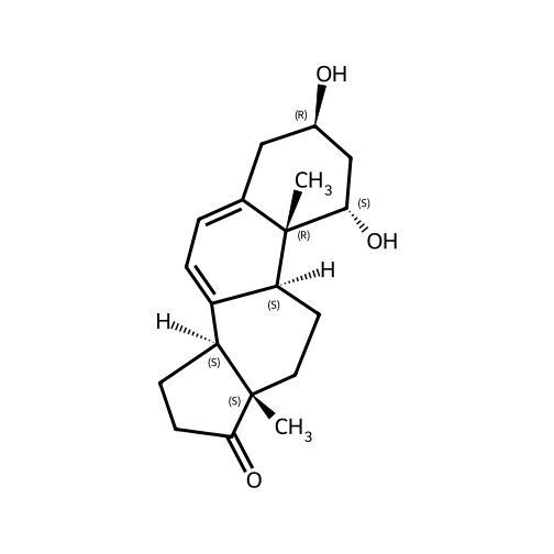 C[C@]12C(=CC=C3[C@@H]1CC[C@]1(C)C(=O)CC[C@@H]31)C[C@@H](O)C[C@@H]2O